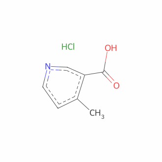 Cc1ccncc1C(=O)O.Cl